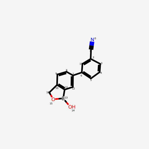 N#Cc1cccc(-c2ccc3c(c2)B(O)OC3)c1